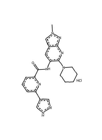 Cl.Cn1cc2cc(NC(=O)c3cccc(-c4cn[nH]c4)n3)c(N3CCCCC3)nc2n1